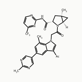 CC(=O)c1cn(CC(=O)N2[C@H](C(=O)Nc3nccc(C(F)(F)F)n3)C[C@@]3(C)C[C@@H]23)c2c(C)cc(-c3cnc(C)nc3)cc12